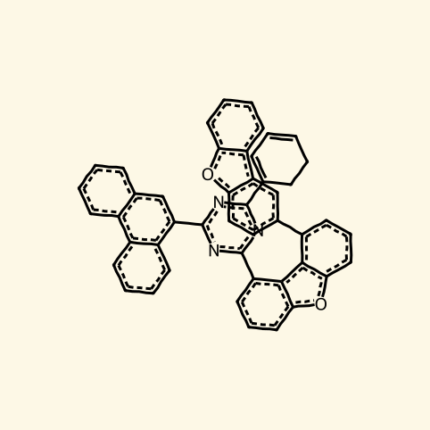 C1=CCCC(c2nc(-c3cc4ccccc4c4ccccc34)nc(-c3cccc4oc5cccc(-c6ccc7oc8ccccc8c7c6)c5c34)n2)=C1